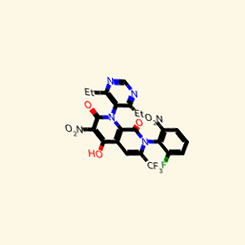 CCc1ncnc(CC)c1-n1c(=O)c([N+](=O)[O-])c(O)c2cc(C(F)(F)F)n(-c3c(F)cccc3[N+](=O)[O-])c(=O)c21